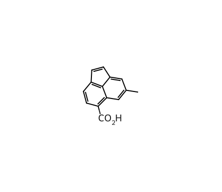 Cc1cc2c3c(ccc(C(=O)O)c3c1)C=C2